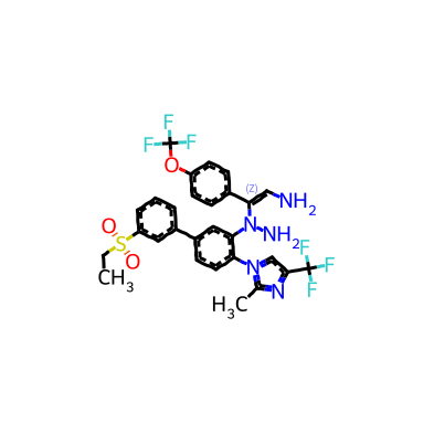 CCS(=O)(=O)c1cccc(-c2ccc(-n3cc(C(F)(F)F)nc3C)c(N(N)/C(=C\N)c3ccc(OC(F)(F)F)cc3)c2)c1